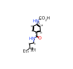 CC[As](CC)CCNC(=O)c1ccc(NC(=O)O)cc1